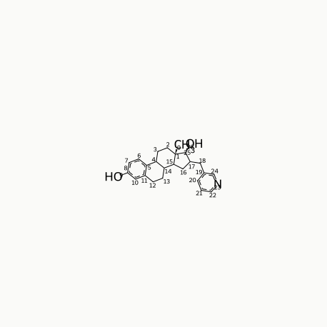 C[C@]12CCC3c4ccc(O)cc4CCC3C1CC(Cc1cccnc1)[C@@H]2O